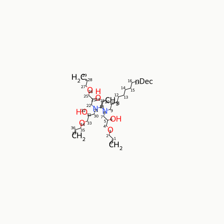 C=CCOCC(O)CN(CCCCCCCCCCCCCCCCCC)C(=CC)N(CC(O)COCC=C)CC(O)COCC=C